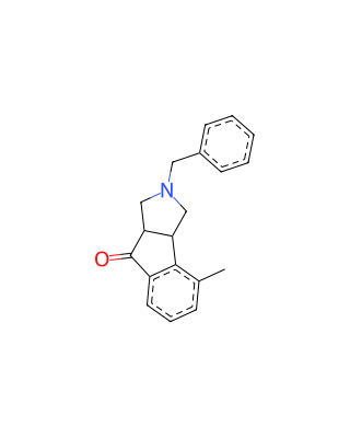 Cc1cccc2c1C1CN(Cc3ccccc3)CC1C2=O